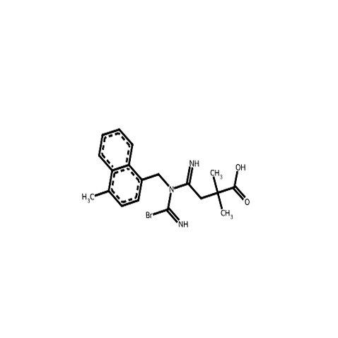 Cc1ccc(CN(C(=N)Br)C(=N)CC(C)(C)C(=O)O)c2ccccc12